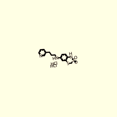 Cl.Cl.O=S1(=O)CSc2cc(NCCCc3cccnc3)ccc2N1